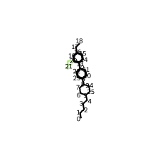 CCCCCC1CCC(c2ccc(-c3ccc(CC)cc3F)cc2)CC1